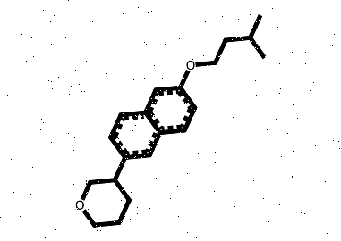 CC(C)CCOc1ccc2cc(C3[C]OCCC3)ccc2c1